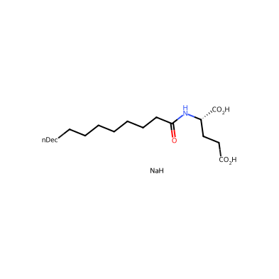 CCCCCCCCCCCCCCCCCC(=O)N[C@@H](CCC(=O)O)C(=O)O.[NaH]